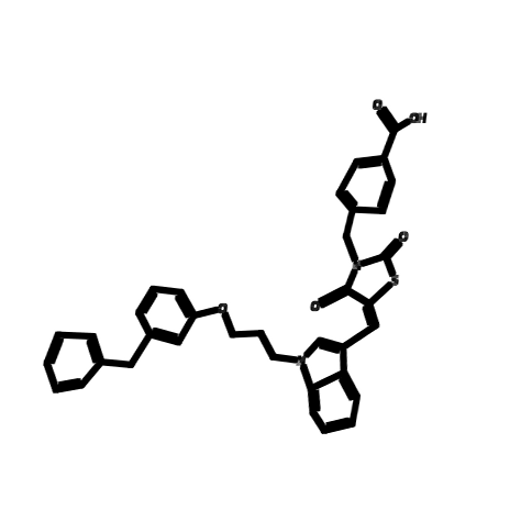 O=C(O)c1ccc(CN2C(=O)SC(=Cc3cn(CCCOc4cccc(Cc5ccccc5)c4)c4ccccc34)C2=O)cc1